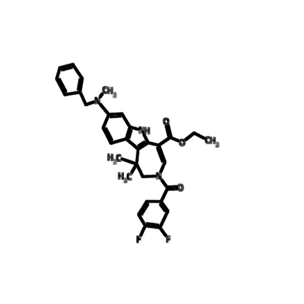 CCOC(=O)C1=CN(C(=O)c2ccc(F)c(F)c2)CC(C)(C)c2c1[nH]c1cc(N(C)Cc3ccccc3)ccc21